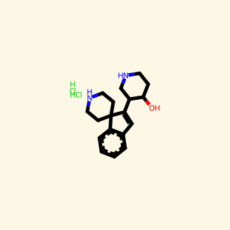 Cl.Cl.OC1CCNCC1C1=Cc2ccccc2C12CCNCC2